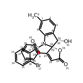 Cc1ccc2c(c1)N(S(=O)(=O)c1ccccc1Br)[C@@]1(OC(=O)C=C1c1ccccc1)[C@H]2O